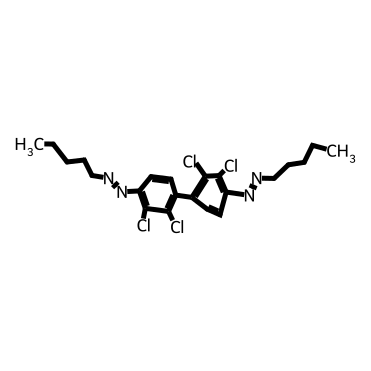 CCCCC/N=N/c1ccc(-c2ccc(/N=N/CCCCC)c(Cl)c2Cl)c(Cl)c1Cl